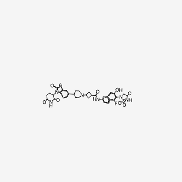 Cn1c(=O)n(C2CCC(=O)NC2=O)c2ccc(C3CCN(C4CC(C(=O)Nc5ccc6c(F)c(N7CC(=O)NS7(=O)=O)c(O)cc6c5)C4)CC3)cc21